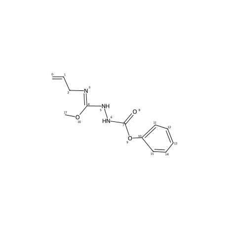 C=CCN=C(NNC(=O)Oc1ccccc1)OC